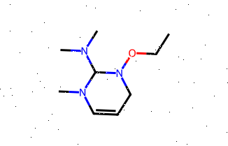 CCON1CC=CN(C)C1N(C)C